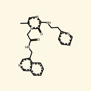 Cc1cnc(NCCc2ccccn2)c(=O)n1CC(=O)NCc1cncc2ccccc12